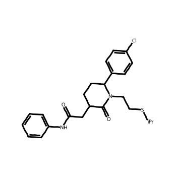 CC(C)SCCN1C(=O)C(CC(=O)Nc2ccccc2)CCC1c1ccc(Cl)cc1